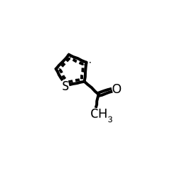 CC(=O)c1[c]ccs1